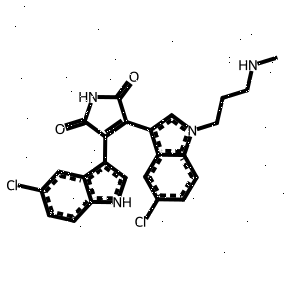 CNCCCn1cc(C2=C(c3c[nH]c4ccc(Cl)cc34)C(=O)NC2=O)c2cc(Cl)ccc21